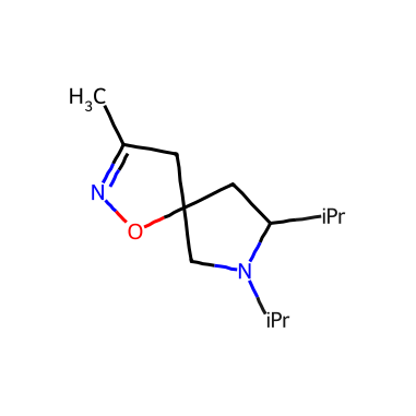 CC1=NOC2(C1)CC(C(C)C)N(C(C)C)C2